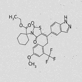 CCOC(=O)C1(N2C(=O)S/C(=C(/Cc3ccc(OC)cc3C(F)(F)F)c3ccc4[nH]ncc4c3)C2=O)CCCCC1